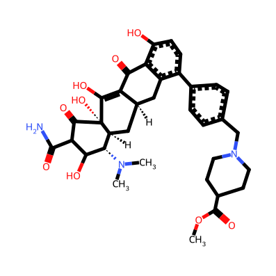 COC(=O)C1CCN(Cc2ccc(-c3ccc(O)c4c3C[C@H]3C[C@H]5[C@H](N(C)C)C(O)C(C(N)=O)C(=O)[C@@]5(O)C(O)=C3C4=O)cc2)CC1